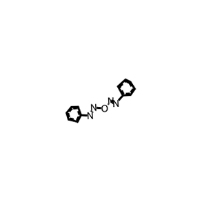 c1ccc(N=NON=Nc2ccccc2)cc1